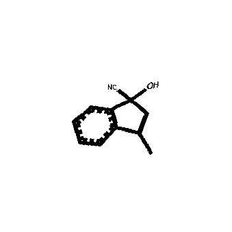 CC1CC(O)(C#N)c2ccccc21